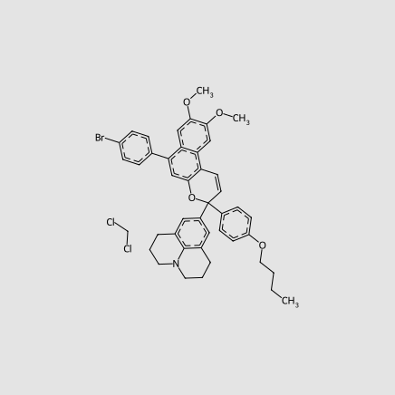 CCCCOc1ccc(C2(c3cc4c5c(c3)CCCN5CCC4)C=Cc3c(cc(-c4ccc(Br)cc4)c4cc(OC)c(OC)cc34)O2)cc1.ClCCl